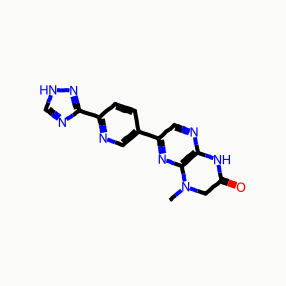 CN1CC(=O)Nc2ncc(-c3ccc(-c4nc[nH]n4)nc3)nc21